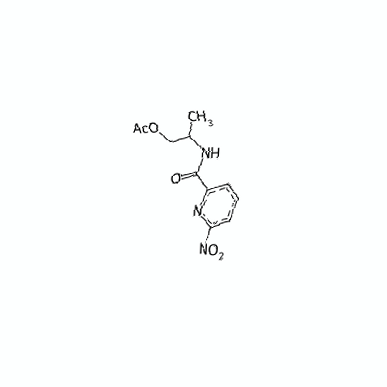 CC(=O)OCC(C)NC(=O)c1cccc([N+](=O)[O-])n1